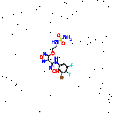 NS(=O)(=O)NCCOc1nonc1/C(=N/O)Nc1cc(F)c(F)c(Br)c1